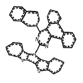 c1ccc2cc(-c3nc(-n4c5c6ccccc6sc5c5sc6ccccc6c54)nc4c5ccccc5c5ccccc5c34)ccc2c1